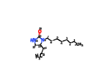 CCCCCCCCN1C(=O)NCC1CC